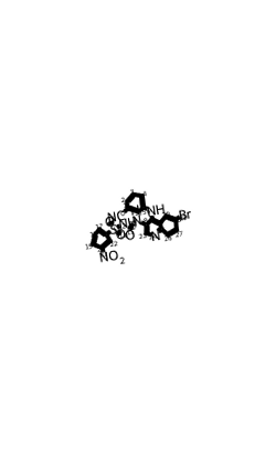 N#Cc1cccc(Nc2c(NC(=O)NS(=O)(=O)c3cccc([N+](=O)[O-])c3)cnc3ccc(Br)cc23)c1